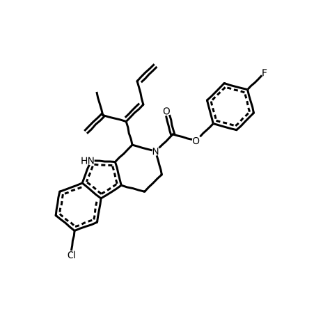 C=C/C=C(\C(=C)C)C1c2[nH]c3ccc(Cl)cc3c2CCN1C(=O)Oc1ccc(F)cc1